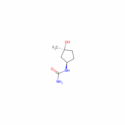 NC(=O)N[C@@H]1CC[C@@](O)(C(F)(F)F)C1